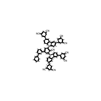 N#Cc1cc(C#N)cc(-c2ccc3c(c2)c2cc(-c4cc(C#N)cc(C#N)c4)ccc2n3-c2cc(-c3cccc(-c4ccccc4)n3)cc(-n3c4ccc(-c5cc(C#N)cc(C#N)c5)cc4c4cc(-c5cc(C#N)cc(C#N)c5)ccc43)c2C#N)c1